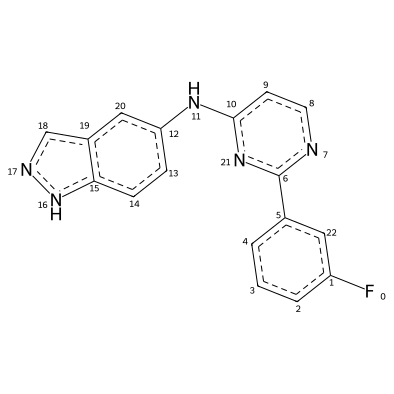 Fc1cccc(-c2nccc(Nc3ccc4[nH]ncc4c3)n2)c1